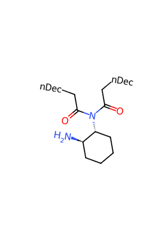 CCCCCCCCCCCC(=O)N(C(=O)CCCCCCCCCCC)[C@@H]1CCCC[C@H]1N